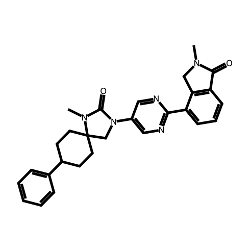 CN1Cc2c(cccc2-c2ncc(N3CC4(CCC(c5ccccc5)CC4)N(C)C3=O)cn2)C1=O